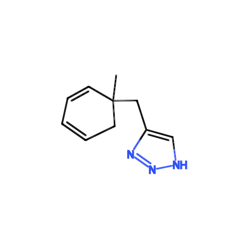 CC1(Cc2c[nH]nn2)C=CC=CC1